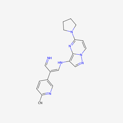 N#Cc1ccc(/C(C=N)=C/Nc2cnn3ccc(N4CCCC4)nc23)cn1